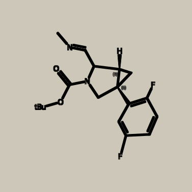 CN=CC1[C@@H]2C[C@]2(c2cc(F)ccc2F)CN1C(=O)OC(C)(C)C